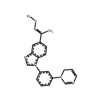 CCON=C(C)c1ccc2c(c1)ncn2-c1cccc(N2C=NC=CC2)c1